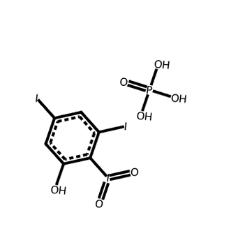 O=I(=O)c1c(O)cc(I)cc1I.O=P(O)(O)O